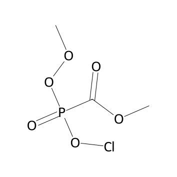 COOP(=O)(OCl)C(=O)OC